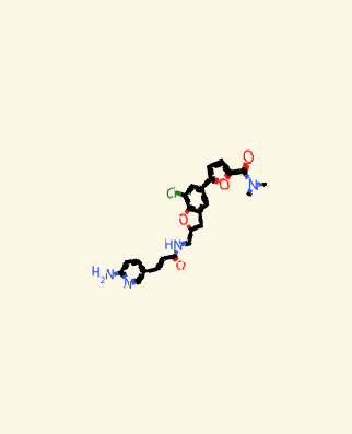 CN(C)C(=O)c1ccc(-c2cc(Cl)c3c(c2)CC(CNC(=O)/C=C/c2ccc(N)nc2)O3)o1